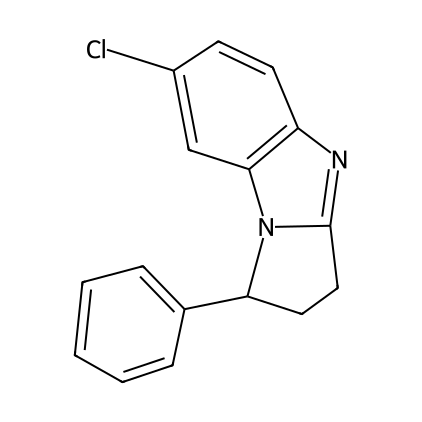 Clc1ccc2nc3n(c2c1)C(c1ccccc1)CC3